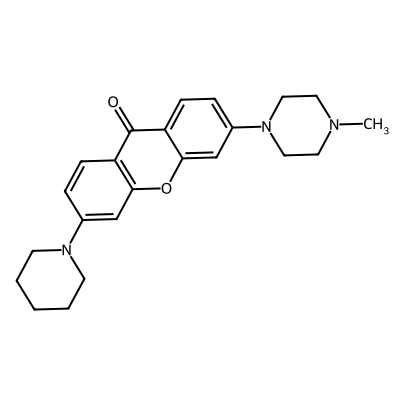 CN1CCN(c2ccc3c(=O)c4ccc(N5CCCCC5)cc4oc3c2)CC1